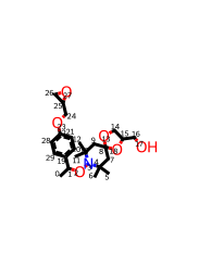 CC(ON1C(C)(C)CC2(CC1(C)C)OCC(CO)O2)c1ccc(OCC2CO2)cc1